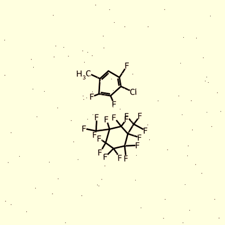 Cc1cc(F)c(Cl)c(F)c1F.FC(F)(F)C1(F)C(F)(F)C(F)(F)C(F)(F)C(F)(C(F)(F)F)C1(F)F